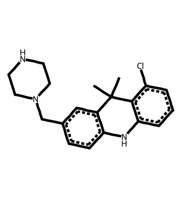 CC1(C)c2cc(CN3CCNCC3)ccc2Nc2cccc(Cl)c21